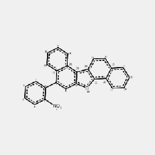 O=[N+]([O-])c1ccccc1-c1cc2oc3c4ccccc4ccc3c2c2ccccc12